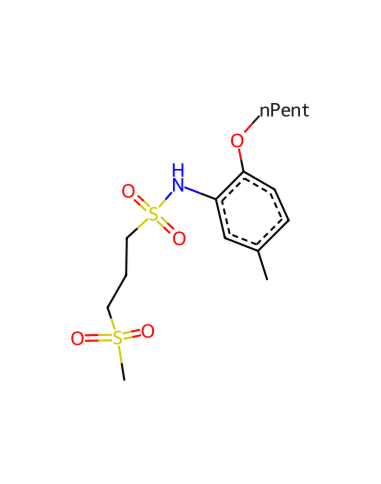 CCCCCOc1ccc(C)cc1NS(=O)(=O)CCCS(C)(=O)=O